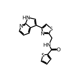 O=C(NCc1nc(-c2c[nH]c3ncccc23)cs1)c1cccs1